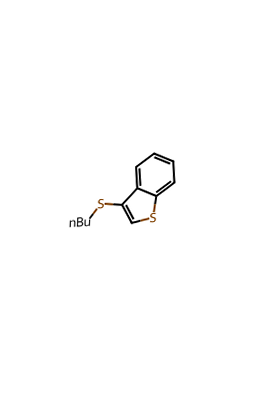 CCCCSc1csc2ccccc12